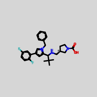 CC(C)(C)C(NC[C@H]1CCN(C(=O)O)C1)c1cc(-c2cc(F)ccc2F)cn1Cc1ccccc1